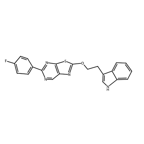 Fc1ccc(-c2ncc3nc(OCCc4c[nH]c5ccccc45)sc3n2)cc1